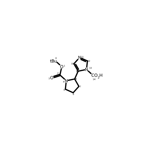 CC(C)(C)OC(=O)N1CCCC1c1cncn1C(=O)O